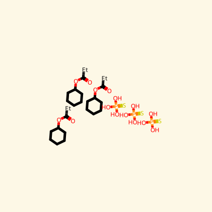 CCC(=O)OC1CCCCC1.CCC(=O)OC1CCCCC1.CCC(=O)OC1CCCCC1.OP(O)(O)=S.OP(O)(O)=S.OP(O)(O)=S